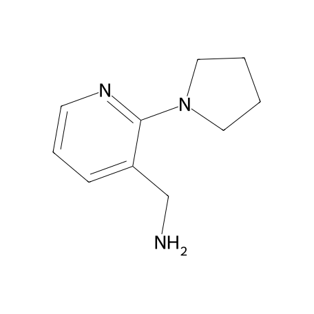 NCc1cccnc1N1CCCC1